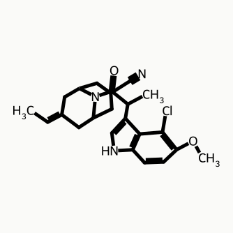 CC=C1CC2CC(C#N)CC(C1)N2C(=O)C(C)c1c[nH]c2ccc(OC)c(Cl)c12